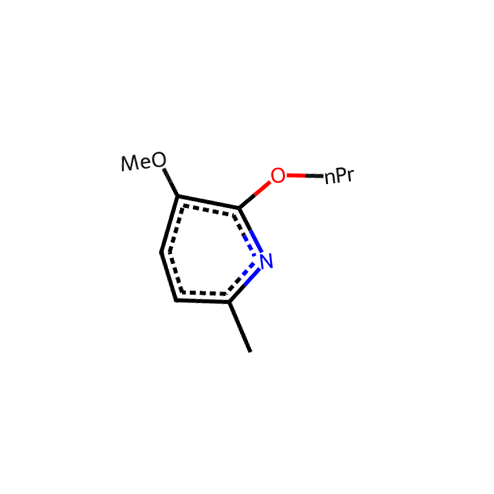 CCCOc1nc(C)ccc1OC